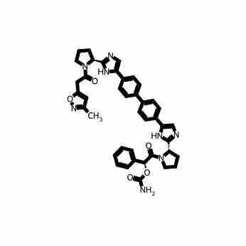 Cc1cc(CC(=O)N2CCC[C@H]2c2ncc(-c3ccc(-c4ccc(-c5cnc([C@@H]6CCCN6C(=O)[C@H](OC(N)=O)c6ccccc6)[nH]5)cc4)cc3)[nH]2)on1